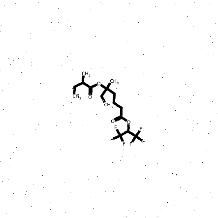 CCC(C)C(=O)OC(C)(CC)CCCC(=O)OC(C(F)(F)F)C(F)(F)F